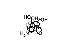 Nc1ccn([C@]2(N3CCOCC3)O[C@H](CO)[C@@H](O)[C@]2(O)CCO)c(=O)n1